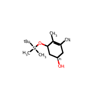 CC1=C(C#N)C[C@@H](O)CC1O[Si](C)(C)C(C)(C)C